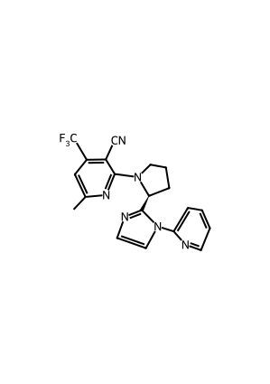 Cc1cc(C(F)(F)F)c(C#N)c(N2CCC[C@H]2c2nccn2-c2ccccn2)n1